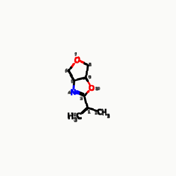 CC(C)C1=NC2COCC2O1